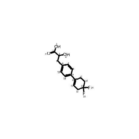 O=C(O)C(O)Cc1ccc(C2=CCC(F)(F)CC2)cc1